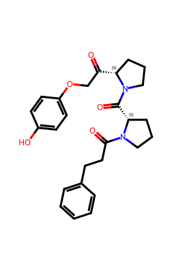 O=C(COc1ccc(O)cc1)[C@@H]1CCCN1C(=O)[C@@H]1CCCN1C(=O)CCc1ccccc1